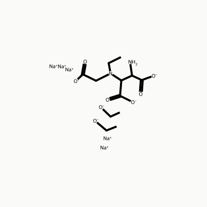 CCN(CC(=O)[O-])C(C(=O)[O-])C(N)C(=O)[O-].CC[O-].CC[O-].[Na+].[Na+].[Na+].[Na+].[Na+]